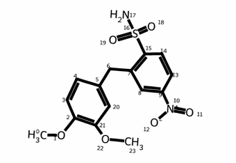 COc1ccc(Cc2cc([N+](=O)[O-])ccc2S(N)(=O)=O)cc1OC